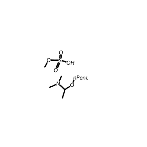 CCCCCOC(C)N(C)C.COS(=O)(=O)O